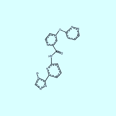 CC(C)n1cnnc1-c1cccc(NC(=O)c2cc(Oc3cccnn3)ccn2)n1